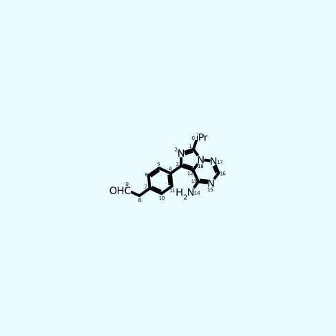 CC(C)c1nc(-c2ccc(CC=O)cc2)c2c(N)ncnn12